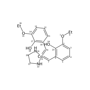 CCOc1cccc([CH]=[Co]2(=[CH]c3cccc(OCC)c3O)[NH]CC[NH]2)c1O